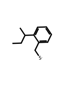 CCC(C)c1ccccc1C[S]